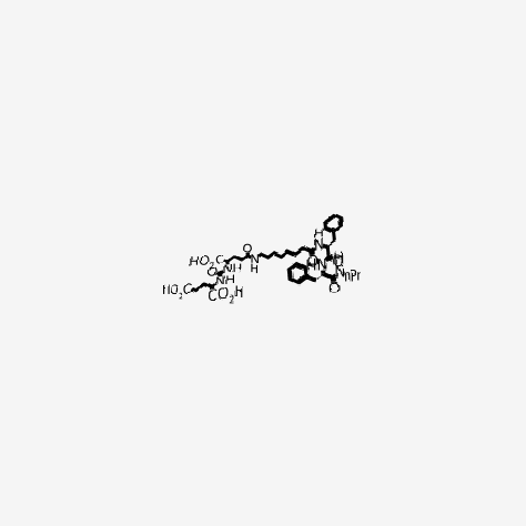 CCCNC(=O)[C@H](Cc1ccccc1)NC(=O)[C@H](Cc1ccccc1)NC(=O)CCCCCCCNC(=O)CCC(NC(=O)NC(CCC(=O)O)C(=O)O)C(=O)O